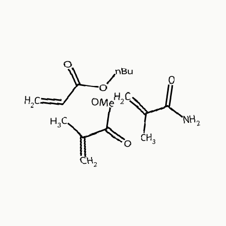 C=C(C)C(=O)OC.C=C(C)C(N)=O.C=CC(=O)OCCCC